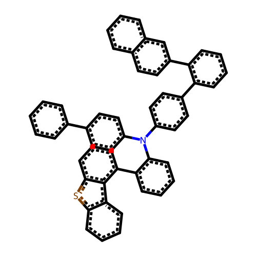 c1ccc(-c2ccc(N(c3ccc(-c4ccccc4-c4ccc5ccccc5c4)cc3)c3ccccc3-c3cccc4sc5ccccc5c34)cc2)cc1